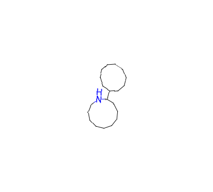 C1CCCCC(C2CCCCCCCCCN2)CCCC1